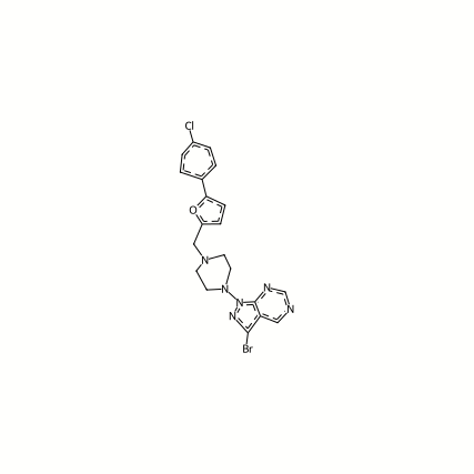 Clc1ccc(-c2ccc(CN3CCN(n4nc(Br)c5cncnc54)CC3)o2)cc1